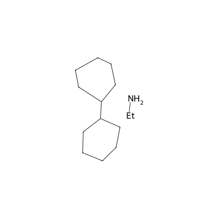 C1CCC(C2CCCCC2)CC1.CCN